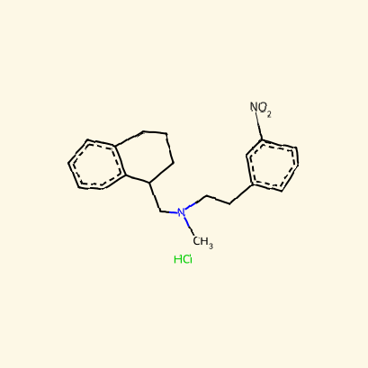 CN(CCc1cccc([N+](=O)[O-])c1)CC1CCCc2ccccc21.Cl